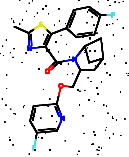 Cc1nc(C(=O)N2C(COc3ccc(F)cn3)CC3CC2C3)c(-c2ccc(F)cc2)s1